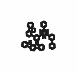 c1ccc(-c2cccc(-c3nc(-c4ccccc4)nc(-c4cc(-c5cccc6c5oc5ccccc56)cc(-n5c6ccccc6c6ccc7c8ccccc8sc7c65)c4)n3)c2)cc1